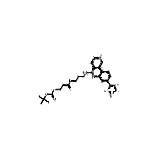 CC(C)(C)OC(=O)NCCC(=O)NCCCNc1nc2cc(-c3nn[nH]n3)ccc2c2cnccc12